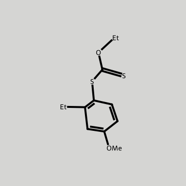 CCOC(=S)Sc1ccc(OC)cc1CC